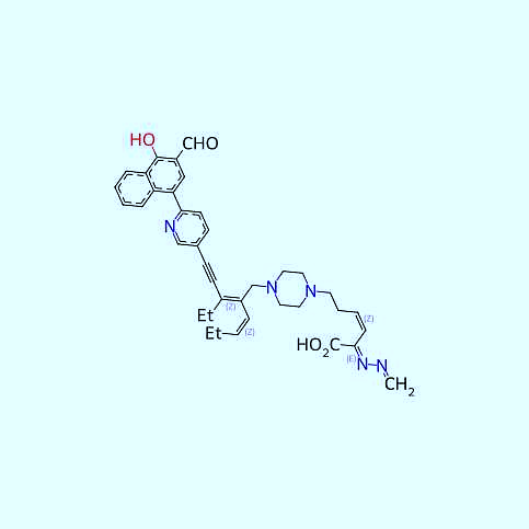 C=N/N=C(\C=C/CCN1CCN(CC(/C=C\CC)=C(\C#Cc2ccc(-c3cc(C=O)c(O)c4ccccc34)nc2)CC)CC1)C(=O)O